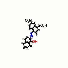 Cc1cc(S(=O)(=O)O)c2cc([N+](=O)[O-])ccc2c1/N=N/c1ccc2ccccc2c1O